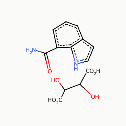 NC(=O)c1cccc2cc[nH]c12.O=C(O)C(O)C(O)C(=O)O